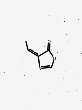 CC=C1N=[C]OC1=O